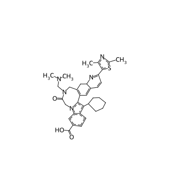 Cc1nc(C)c(C2=NC3CC4=C(C=C3C=C2)c2c(C3CCCCC3)c3ccc(C(=O)O)cc3n2CC(=O)N(CN(C)C)C4)s1